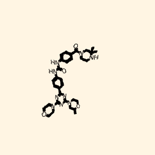 CC1CN(c2nc(-c3ccc(NC(=O)Nc4ccc(C(=O)N5CCNC(C)(C)C5)cc4)cc3)nc(N3CCOCC3)n2)CCO1